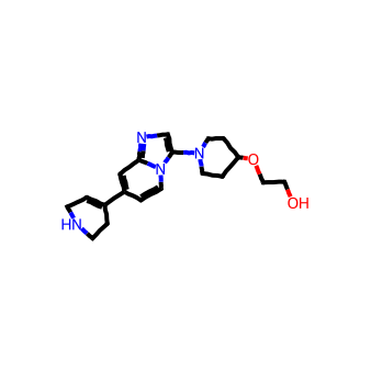 OCCOC1CCN(c2cnc3cc(C4=CCNCC4)ccn23)CC1